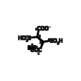 O=C([O-])C(C(C(=O)[O-])S(=O)(=O)O)S(=O)(=O)O.[Ba+2]